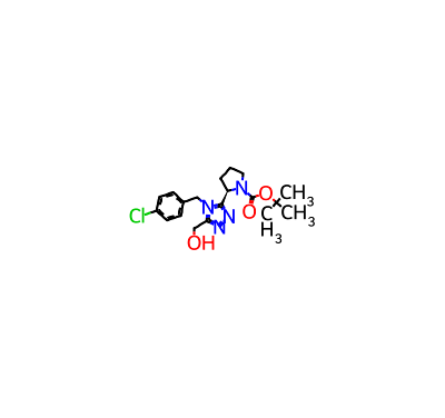 CC(C)(C)OC(=O)N1CCC[C@@H]1c1nnc(CO)n1Cc1ccc(Cl)cc1